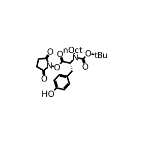 CCCCCCCCN(C(=O)OC(C)(C)C)[C@H](Cc1ccc(O)cc1)C(=O)ON1C(=O)CCC1=O